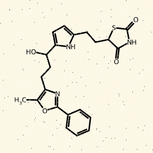 Cc1oc(-c2ccccc2)nc1CCC(O)c1ccc(CCC2SC(=O)NC2=O)[nH]1